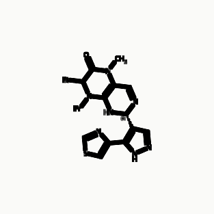 CCC1C(=O)N(C)C2=C(N[C@@H](c3cn[nH]c3-c3cscn3)N=C2)N1C(C)C